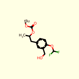 CC(Cc1ccc(OC(F)F)c(CO)c1)OC(=O)OC(C)(C)C